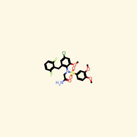 COc1ccc(S(=O)(=O)N(CC(N)=O)c2c(Cc3c(F)cccc3F)cc(Cl)cc2OC)cc1OC